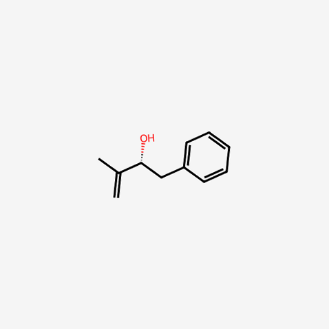 C=C(C)[C@H](O)Cc1ccccc1